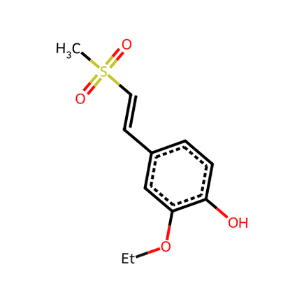 CCOc1cc(/C=C/S(C)(=O)=O)ccc1O